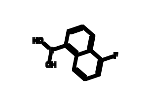 OB(O)c1cccc2c(F)cccc12